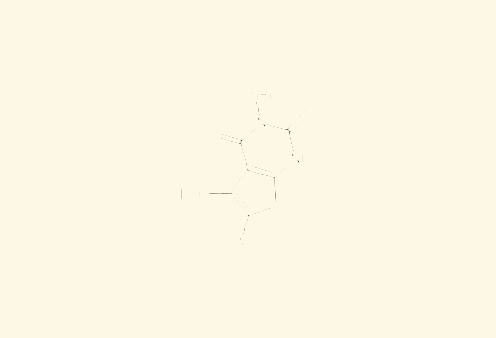 CCCCn1c(=O)[nH]c2sc(C(C)=O)c(C)c2c1=O